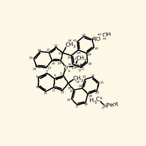 CCCCCC.C[SiH2][Zr]([C]1=c2ccccc2=CC1(C)c1cccc2ccccc12)[C]1=c2ccccc2=CC1(C)c1cccc2ccccc12.Cl.Cl